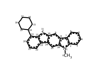 Cn1c2ccccc2c2cc3sc4c(C5CCCCC5)cccc4c3cc21